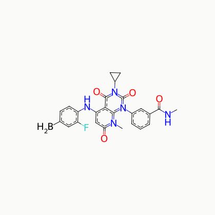 Bc1ccc(Nc2cc(=O)n(C)c3c2c(=O)n(C2CC2)c(=O)n3-c2cccc(C(=O)NC)c2)c(F)c1